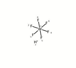 [F][W]([F])([F])([F])([F])[F].[H+]